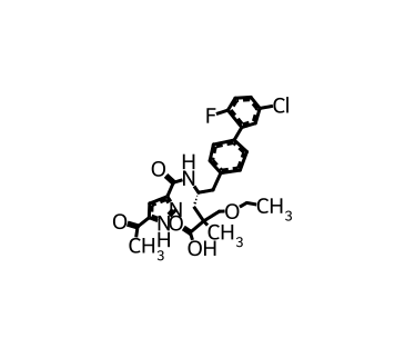 CCOCC(C)(C[C@@H](Cc1ccc(-c2cc(Cl)ccc2F)cc1)NC(=O)c1cc(C(C)=O)[nH]n1)C(=O)O